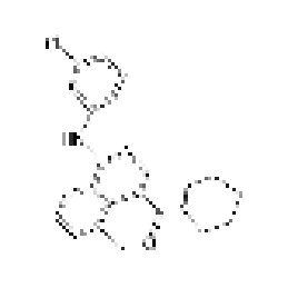 Cc1cccc2c(Nc3cccc(Cl)c3)ncc(C(=O)N3CCCCC3)c12